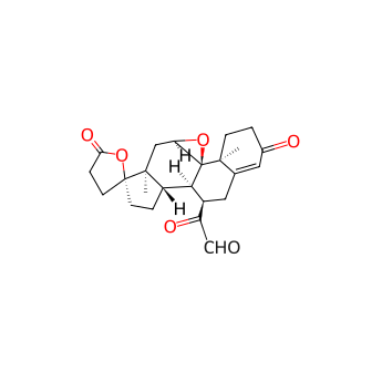 C[C@]12CCC(=O)C=C1C[C@@H](C(=O)C=O)[C@H]1[C@@H]3CC[C@@]4(CCC(=O)O4)[C@@]3(C)C[C@H]3O[C@@]132